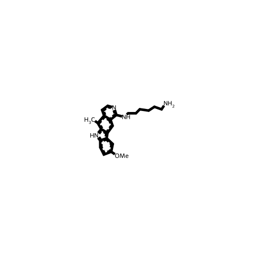 COc1ccc2[nH]c3c(C)c4ccnc(NCCCCCCN)c4cc3c2c1